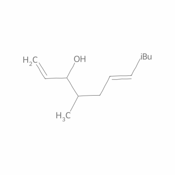 C=CC(O)C(C)CC=CC(C)CC